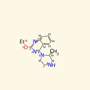 CCOc1nc(N2CCNCC2C)c2ccccc2n1